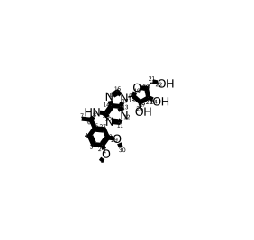 COc1ccc(C(C)Nc2ncnc3c2ncn3[C@@H]2O[C@H](CO)C(O)[C@@H]2O)cc1OC